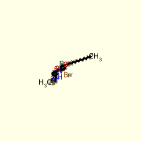 CCCCCCCCCCCCCCOc1ccc(NC(=O)c2cccc(C[n+]3csc(C)c3)c2)cc1F.[Br-]